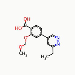 CCc1cc(-c2ccc(B(O)O)c(OCOC)c2)cnn1